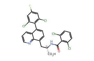 O=C(N[C@@H](Cc1ccc(-c2c(Cl)cc(F)cc2Cl)c2cccnc12)C(=O)O)c1c(Cl)cccc1Cl